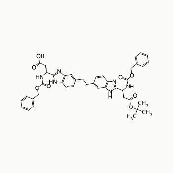 CC(C)(C)OC(=O)C[C@H](NC(=O)OCc1ccccc1)c1nc2ccc(CCc3ccc4[nH]c([C@H](CC(=O)O)NC(=O)OCc5ccccc5)nc4c3)cc2[nH]1